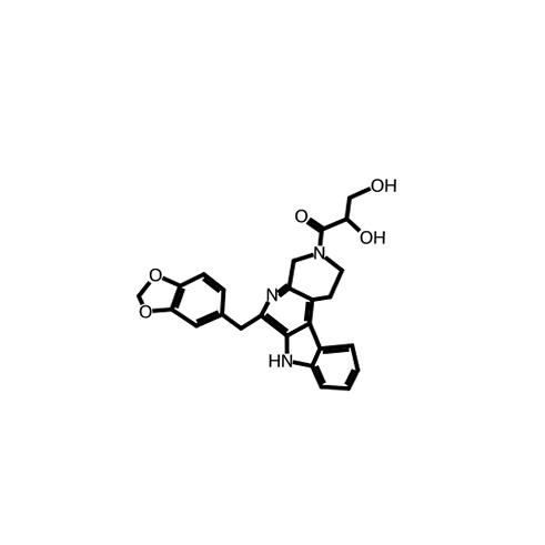 O=C(C(O)CO)N1CCc2c(nc(Cc3ccc4c(c3)OCO4)c3[nH]c4ccccc4c23)C1